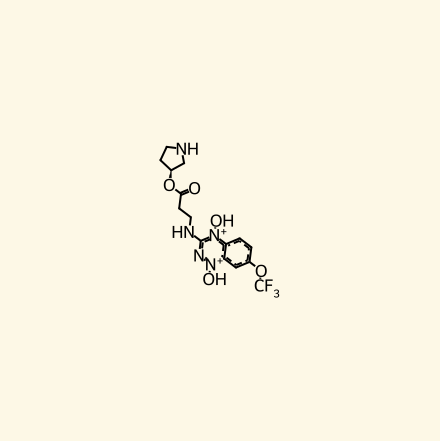 O=C(CCNc1n[n+](O)c2cc(OC(F)(F)F)ccc2[n+]1O)O[C@H]1CCNC1